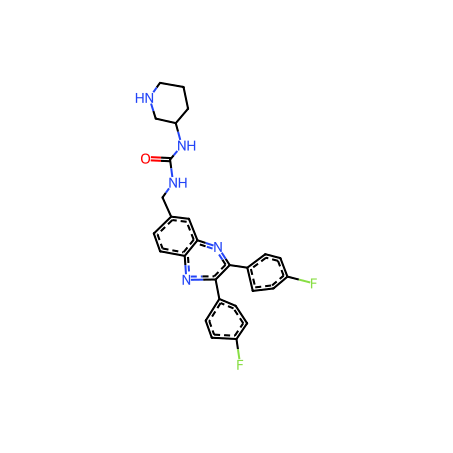 O=C(NCc1ccc2nc(-c3ccc(F)cc3)c(-c3ccc(F)cc3)nc2c1)NC1CCCNC1